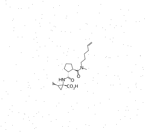 C=CCCCCN(C)C(=O)[C@@H]1CCC[C@H]1C(=O)N[C@]1(C(=O)O)C[C@H]1I